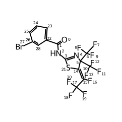 O=C(NC1=NC(C(F)(F)F)(C(F)(F)F)C(=C(F)C(F)(F)F)S1)c1cccc(Br)c1